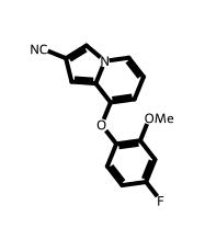 COc1cc(F)ccc1Oc1cccn2cc(C#N)cc12